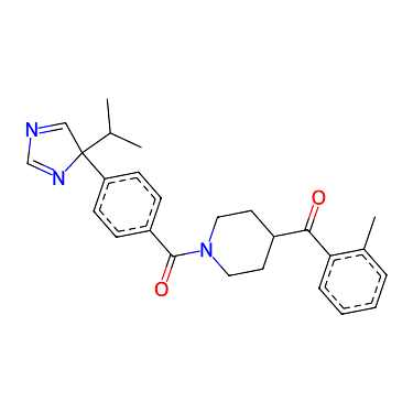 Cc1ccccc1C(=O)C1CCN(C(=O)c2ccc(C3(C(C)C)C=NC=N3)cc2)CC1